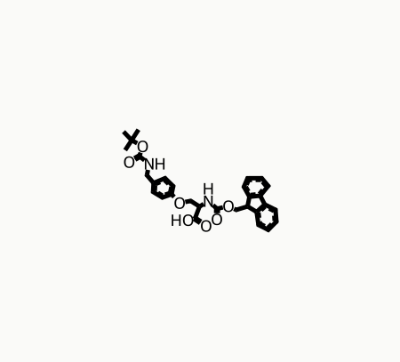 CC(C)(C)OC(=O)NCc1ccc(OCC(NC(=O)OCC2c3ccccc3-c3ccccc32)C(=O)O)cc1